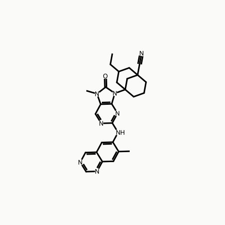 CCC1CC2(C#N)CCCC(n3c(=O)n(C)c4cnc(Nc5cc6cncnc6cc5C)nc43)(C1)C2